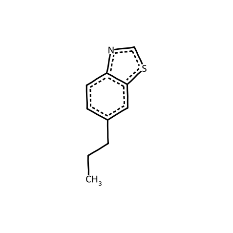 CCCc1ccc2ncsc2c1